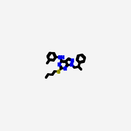 CCCCSc1nc(Nc2cccc(C)c2)c2cnn(CC(C)c3ccccc3)c2n1